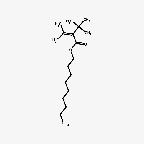 CCCCCCCCCOC(=O)C(=C(C)C)C(C)(C)C